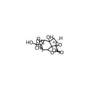 CC(C)(O)C1C2OC(=O)C1C1(O)C[C@H]3O[C@]34C(=O)OC2C14C